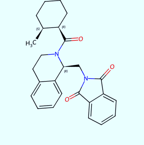 C[C@H]1CCCC[C@H]1C(=O)N1CCc2ccccc2[C@@H]1CN1C(=O)c2ccccc2C1=O